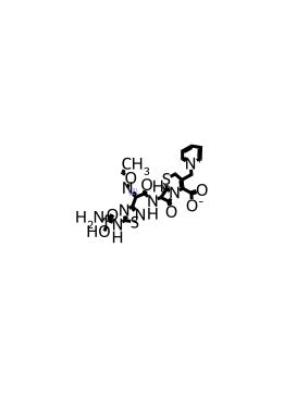 CCO/N=C(\C(=O)NC1C(=O)N2C(C(=O)[O-])=C(C[n+]3ccccc3)CS[C@H]12)c1nsc(NP(N)(=O)O)n1